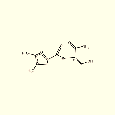 Cc1cc(C(=O)N[C@H](CO)C(N)=O)oc1C